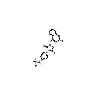 O=C1CN(Cc2cc(F)nc3ccccc23)C(=O)N1c1ccc(SC(F)(F)F)cc1